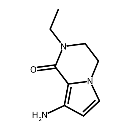 CCN1CCn2ccc(N)c2C1=O